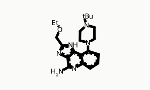 CCOCc1nc2c(N)nc3cccc(N4CCN(C(C)(C)C)CC4)c3c2[nH]1